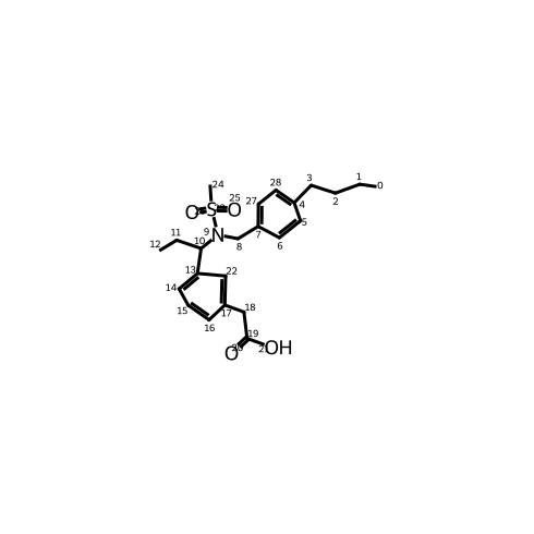 CCCCc1ccc(CN(C(CC)c2cccc(CC(=O)O)c2)S(C)(=O)=O)cc1